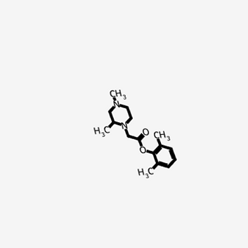 Cc1cccc(C)c1OC(=O)CN1CCN(C)CC1C